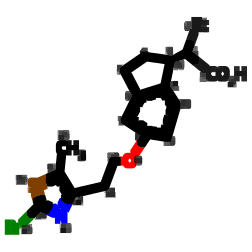 CCC(C(=O)O)[C@@H]1CCc2cc(OCCc3nc(Br)sc3C)ccc21